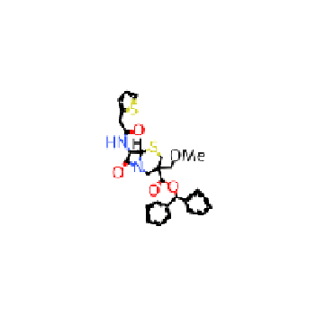 COCC1(C(=O)OC(c2ccccc2)c2ccccc2)CS[C@@H]2C(NC(=O)Cc3cccs3)C(=O)N2C1